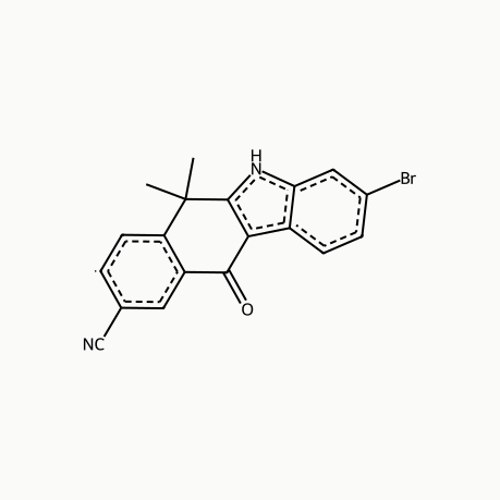 CC1(C)c2c[c]c(C#N)cc2C(=O)c2c1[nH]c1cc(Br)ccc21